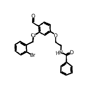 O=Cc1ccc(OCCNC(=O)c2ccccc2)cc1OCc1ccccc1Br